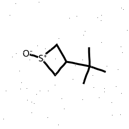 CC(C)(C)C1C[S+]([O-])C1